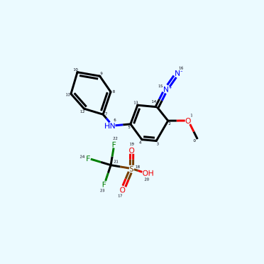 COC1C=CC(Nc2ccccc2)=CC1=[N+]=[N-].O=S(=O)(O)C(F)(F)F